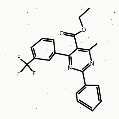 CCOC(=O)c1c(C)nc(-c2ccccc2)nc1-c1cccc(C(F)(F)F)c1